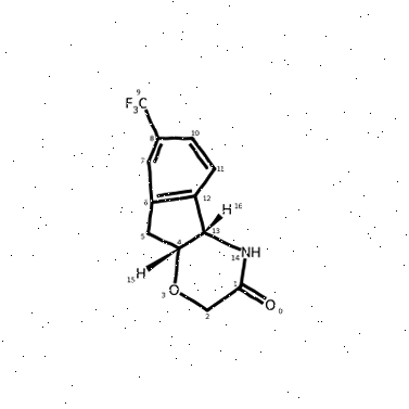 O=C1CO[C@@H]2Cc3cc(C(F)(F)F)ccc3[C@@H]2N1